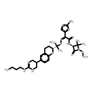 CC(O/N=C(\C(=O)N[C@@H]1C(=O)N(OS(=O)(=O)O)C1(C)C)c1csc(N)n1)(C(=O)O)[C@H]1CCc2cc(C3CN=C(NCCCN)NC3)ccc2O1